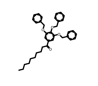 CCCCCCCCCC(=O)c1cc(OCc2ccccc2)c(OCc2ccccc2)c(OCc2ccccc2)c1